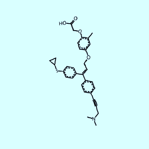 Cc1cc(OC/C=C(/c2ccc(C#CCN(C)C)cc2)c2ccc(SC3CC3)cc2)ccc1OCC(=O)O